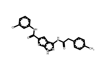 Cc1ccc(CC(=O)Nc2n[nH]c3sc(C(=O)Nc4cccc(Cl)c4)cc23)cc1